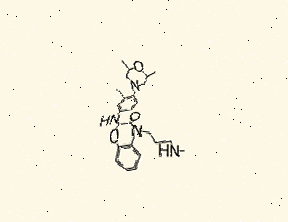 CNCCCN1C(=O)C(Nc2ccc(N3CC(C)OC(C)C3)c(C)c2)Oc2ccccc21